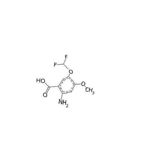 COc1cc(N)c(C(=O)O)cc1OC(F)F